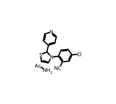 CC(N)=O.N#Cc1cc(Cl)ccc1N1C=CSC1c1ccncc1